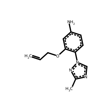 C=CCOc1cc(N)ccc1-n1cnc(C)n1